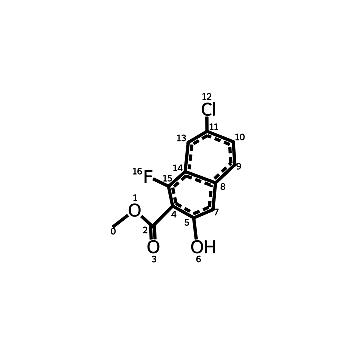 COC(=O)c1c(O)cc2ccc(Cl)cc2c1F